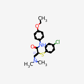 CCOc1ccc(NC(=O)/C(=C/N(C)C)Sc2ccc(Cl)cc2)cc1